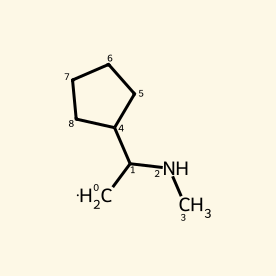 [CH2]C(NC)C1CCCC1